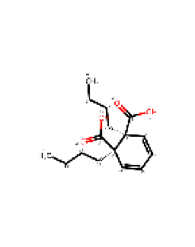 CCCC[C@]1(C(=O)O)C=CC=C[C@@]1(CCCC)C(=O)O